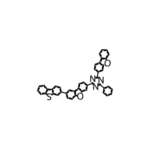 c1ccc(-c2nc(-c3ccc4c(c3)oc3ccccc34)nc(-c3ccc4c(c3)oc3ccc(-c5ccc6c(c5)sc5ccccc56)cc34)n2)cc1